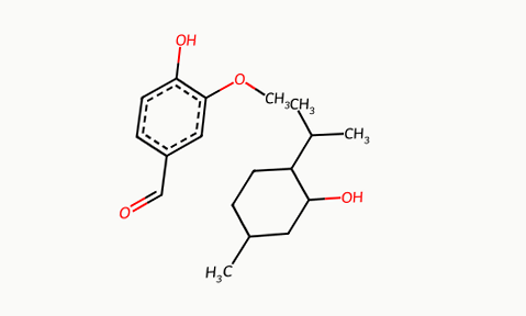 CC1CCC(C(C)C)C(O)C1.COc1cc(C=O)ccc1O